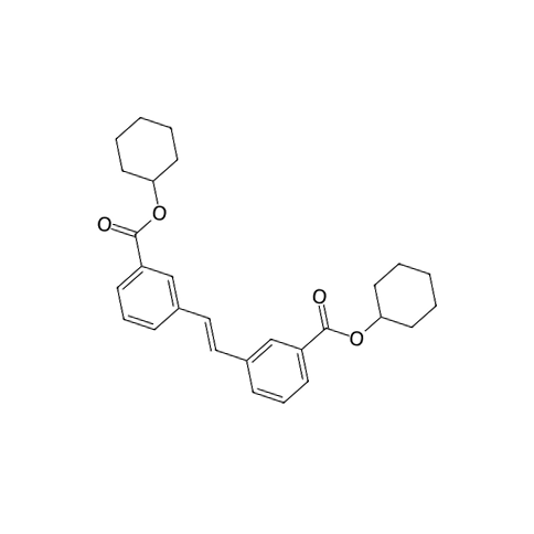 O=C(OC1CCCCC1)c1cccc(C=Cc2cccc(C(=O)OC3CCCCC3)c2)c1